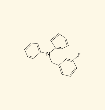 Fc1cccc(CN(c2ccccc2)c2ccccc2)c1